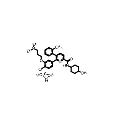 CCN(CC)CCCOc1cc(-c2nc(C(=O)NC3CCC(O)CC3)ccc2-c2ccccc2C)ccc1Cl.Cl.O=C(O)O